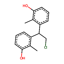 Cc1c(O)cccc1C(CCl)c1cccc(O)c1C